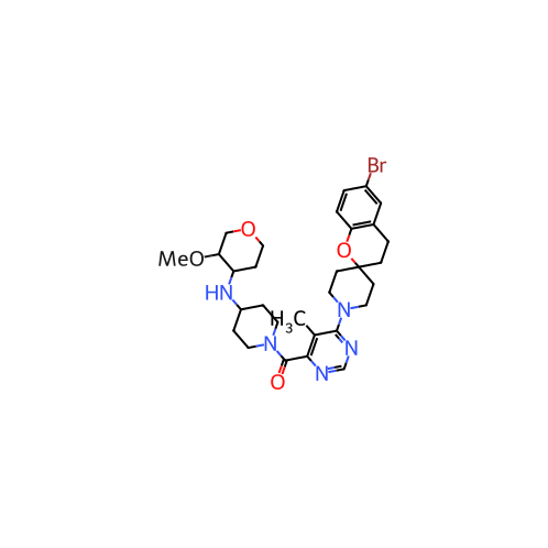 COC1COCCC1NC1CCN(C(=O)c2ncnc(N3CCC4(CCc5cc(Br)ccc5O4)CC3)c2C)CC1